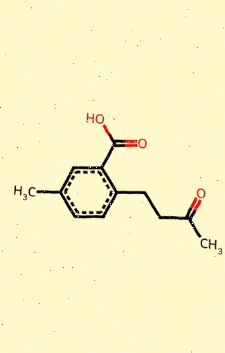 CC(=O)CCc1ccc(C)cc1C(=O)O